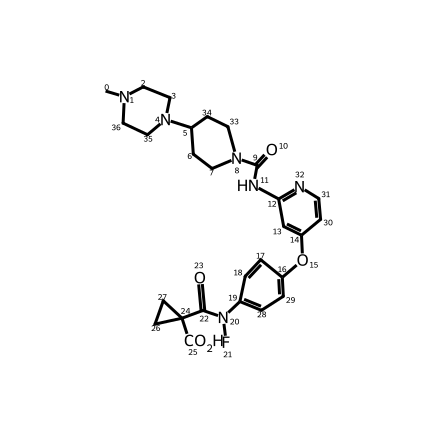 CN1CCN(C2CCN(C(=O)Nc3cc(Oc4ccc(N(F)C(=O)C5(C(=O)O)CC5)cc4)ccn3)CC2)CC1